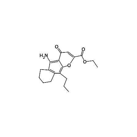 CCCc1c2c(c(N)c3c(=O)cc(C(=O)OCC)oc13)CCCC2